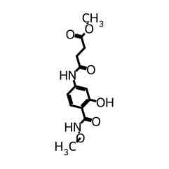 CONC(=O)c1ccc(NC(=O)CCC(=O)OC)cc1O